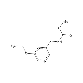 CCCCOC(=O)NCc1cncc(OCC(F)(F)F)c1